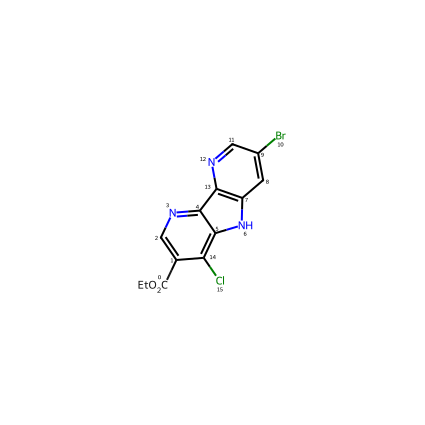 CCOC(=O)c1cnc2c([nH]c3cc(Br)cnc32)c1Cl